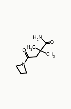 CC(C)([CH]C(=O)N1CCC1)C(N)=O